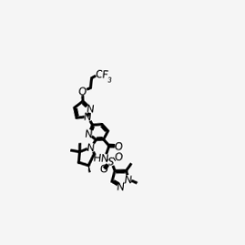 Cc1c(S(=O)(=O)NC(=O)c2ccc(-n3ccc(OCCC(F)(F)F)n3)nc2N2C[C@@H](C)CC2(C)C)cnn1C